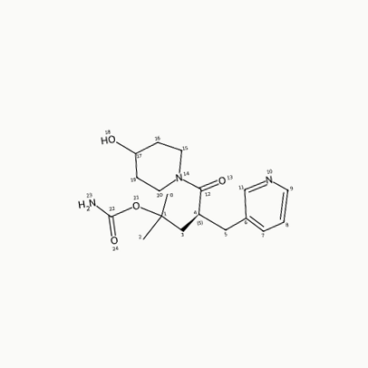 CC(C)(C[C@H](Cc1cccnc1)C(=O)N1CCC(O)CC1)OC(N)=O